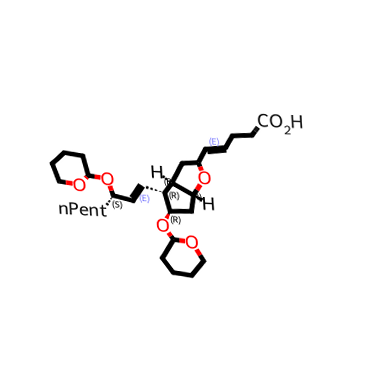 CCCCC[C@@H](/C=C/[C@@H]1[C@H]2CC(/C=C/CCC(=O)O)O[C@@H]2C[C@H]1OC1CCCCO1)OC1CCCCO1